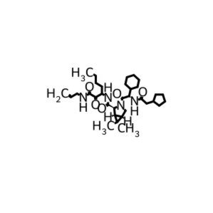 C=CCNC(=O)C(=O)C(CCCC)NC(=O)[C@@H]1[C@@H]2[C@H](CN1C(=O)[C@@H](NC(=O)CC1CCCC1)C1CCCCC1)C2(C)C